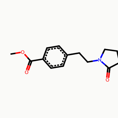 COC(=O)c1ccc(CCN2CCCC2=O)cc1